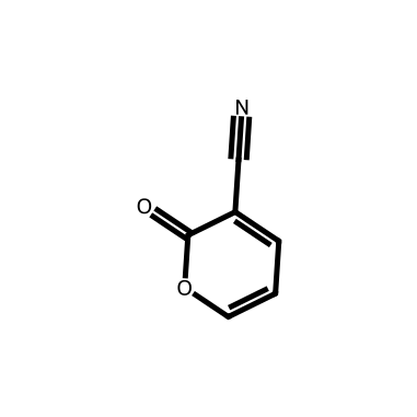 N#Cc1cccoc1=O